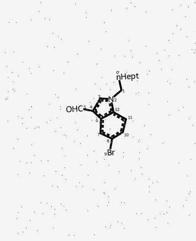 CCCCCCCCn1cc(C=O)c2cc(Br)ccc21